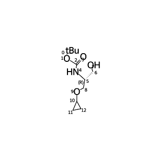 CC(C)(C)OC(=O)N[C@H](CO)COC1CC1